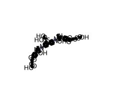 Cc1nn(-c2ccc(S(=O)(=O)CCOS(=O)O)cc2)c(O)c1/N=N/c1ccc(-c2ccc(/N=N/c3c(C)nn(-c4ccc(S(=O)(=O)CCOSOOO)cc4)c3O)cc2S(=O)(=O)O)c(SOOO)c1